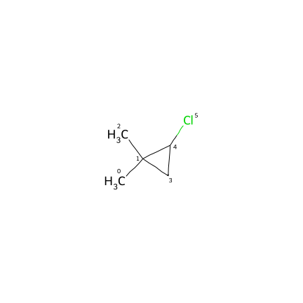 CC1(C)CC1Cl